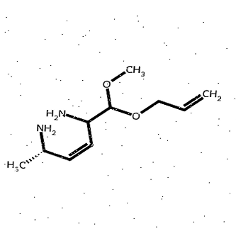 C=CCOC(OC)C(N)/C=C\[C@H](C)N